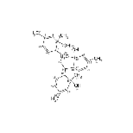 CC1=CC(C)(O)C(CCC(C2C=CC(C)=CC2(C)O)C2C=CC(C)=CC2(C)O)C=C1